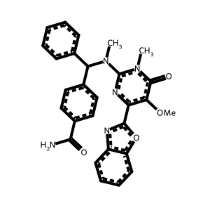 COc1c(-c2nc3ccccc3o2)nc(N(C)C(c2ccccc2)c2ccc(C(N)=O)cc2)n(C)c1=O